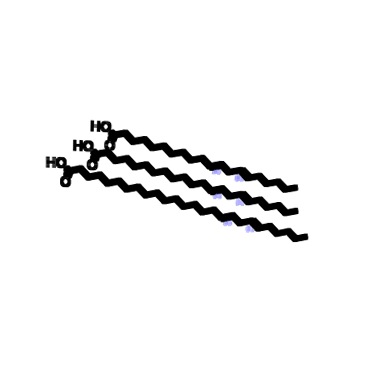 CCCCC/C=C/C/C=C/CCCCCCCCCC(=O)O.CCCCC/C=C/C/C=C/CCCCCCCCCCCC(=O)O.CCCCC/C=C/C/C=C/CCCCCCCCCCCCCCCC(=O)O